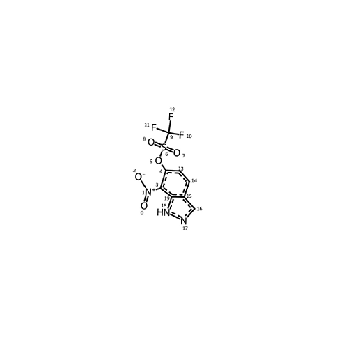 O=[N+]([O-])c1c(OS(=O)(=O)C(F)(F)F)ccc2cn[nH]c12